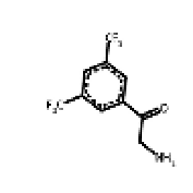 NCC(=O)c1cc(C(F)(F)F)cc(C(F)(F)F)c1